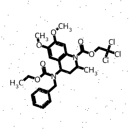 CCOC(=O)N(Cc1ccccc1)C1CC(C)N(C(=O)OCC(Cl)(Cl)Cl)c2cc(OC)c(OC)cc21